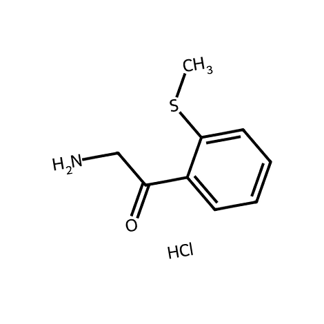 CSc1ccccc1C(=O)CN.Cl